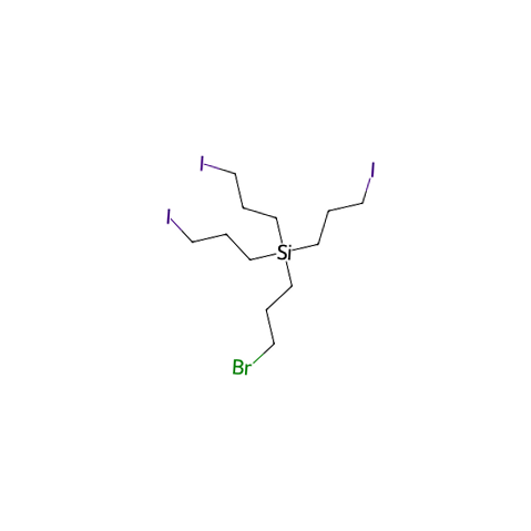 BrCCC[Si](CCCI)(CCCI)CCCI